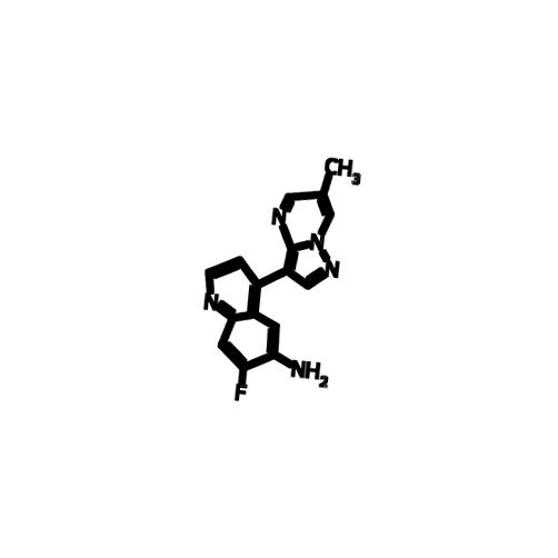 Cc1cnc2c(-c3ccnc4cc(F)c(N)cc34)cnn2c1